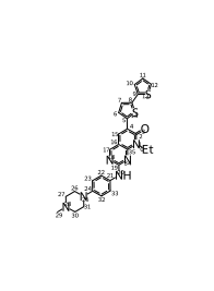 CCn1c(=O)c(-c2ccc(-c3cccs3)s2)cc2cnc(Nc3ccc(N4CCN(C)CC4)cc3)nc21